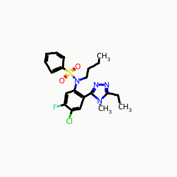 CCCCN(c1cc(F)c(Cl)cc1-c1nnc(CC)n1C)S(=O)(=O)c1ccccc1